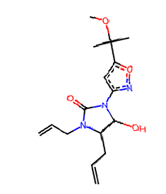 C=CCC1C(O)N(c2cc(C(C)(C)OC)on2)C(=O)N1CC=C